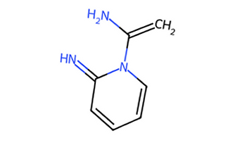 C=C(N)n1ccccc1=N